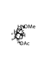 CONC1=N[C@@H]2[C@@H](C)[C@H](C)[C@@H](COC(C)=O)O[C@@H]2S1